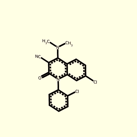 CN(C)c1c(C#N)c(=O)n(-c2ccccc2Cl)c2cc(Cl)ccc12